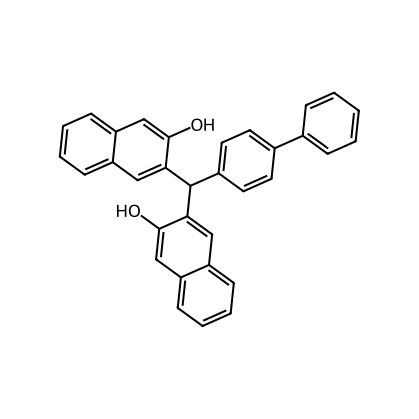 Oc1cc2ccccc2cc1C(c1ccc(-c2ccccc2)cc1)c1cc2ccccc2cc1O